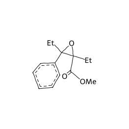 CCC1(C(=O)OC)OC1(CC)c1ccccc1